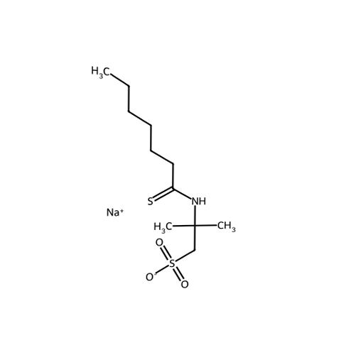 CCCCCCC(=S)NC(C)(C)CS(=O)(=O)[O-].[Na+]